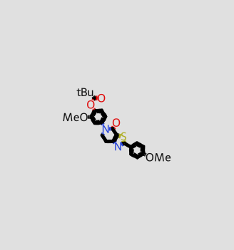 COc1ccc(-c2nc3c(s2)C(=O)N(c2ccc(OC(=O)C(C)(C)C)c(OC)c2)CC3)cc1